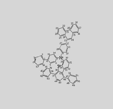 c1ccc(-c2ccc(N(c3ccc(-c4cc5ccccc5c5ccccc45)cc3)c3cccc4c3sc3c(-c5ccccc5)ccc(-c5ccccc5)c34)cc2)cc1